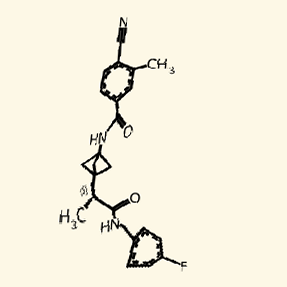 Cc1cc(C(=O)NC23CC([C@H](C)C(=O)Nc4ccc(F)cc4)(C2)C3)ccc1C#N